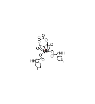 Cc1ccc2c(C(=O)OC3CC4C5OC(=O)C(=O)OC6C7CC(OC(=O)c8c[nH]c9cc(C)ccc89)CC8N7CC(=O)C6C86C5C(=O)CN4C6C3)c[nH]c2c1